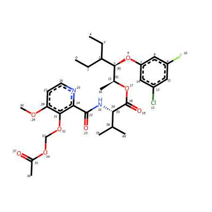 CCC(CC)[C@@H](Oc1cc(F)cc(Cl)c1)[C@H](C)OC(=O)[C@@H](NC(=O)c1nccc(OC)c1OCOC(C)=O)C(C)C